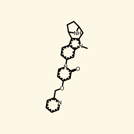 Cn1c2c(c3ccc(-n4ccc(OCc5ccccn5)cc4=O)cc31)C1CCC(C2)N1